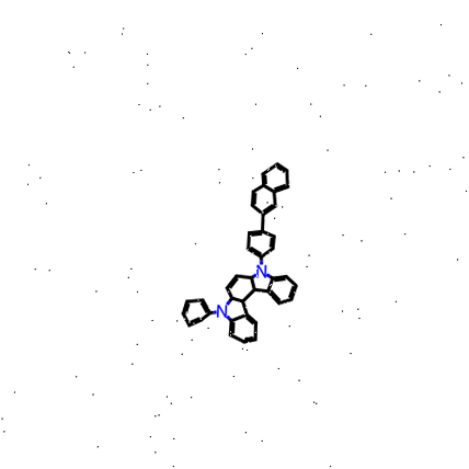 C1=CC2C(c3ccccc3N2c2ccc(-c3ccc4ccccc4c3)cc2)C2c3ccccc3N(c3ccccc3)C12